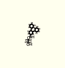 CC(C)(O)C(C)(C)OBc1ccc(-c2ccccc2)c(-c2ccccc2)c1